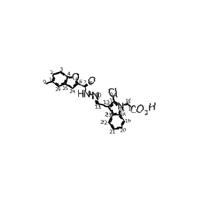 Cc1ccc2oc(C(=O)NN=Cc3c(Cl)n(CC(=O)O)c4ccccc34)cc2c1